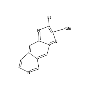 CCc1nc2cc3ccncc3cc2nc1C(C)(C)C